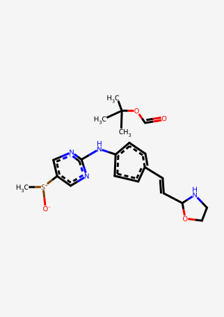 CC(C)(C)OC=O.C[S+]([O-])c1cnc(Nc2ccc(C=CC3NCCO3)cc2)nc1